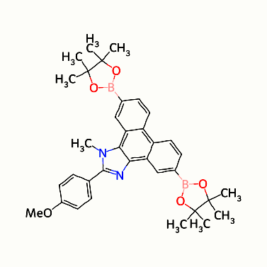 COc1ccc(-c2nc3c4cc(B5OC(C)(C)C(C)(C)O5)ccc4c4ccc(B5OC(C)(C)C(C)(C)O5)cc4c3n2C)cc1